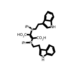 CC(C)N(CCc1c[nH]c2ccccc12)/C(C(=O)O)=C(\C(=O)O)N(CCc1c[nH]c2ccccc12)C(C)C